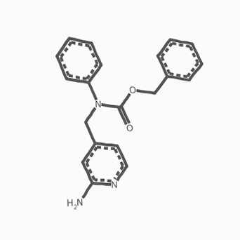 Nc1cc(CN(C(=O)OCc2ccccc2)c2ccccc2)ccn1